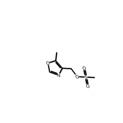 Cc1ocnc1COS(C)(=O)=O